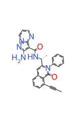 CC#Cc1cccc2cc([C@@H](C)NC(=O)c3c(N)nn4cccnc34)n(-c3ccccc3)c(=O)c12